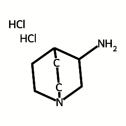 Cl.Cl.NC1CN2CCC1CC2